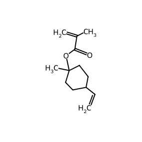 C=CC1CCC(C)(OC(=O)C(=C)C)CC1